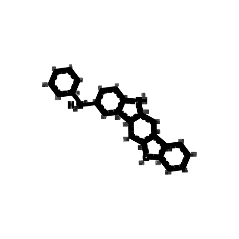 c1ccc([SiH2]c2ccc3[nH]c4cc5c(cc4c3c2)oc2ccccc25)cc1